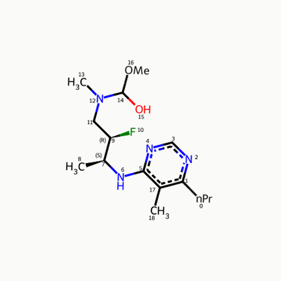 CCCc1ncnc(N[C@@H](C)[C@H](F)CN(C)C(O)OC)c1C